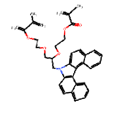 C=C(C)C(=C)OCCOCC(Cn1c2ccc3ccccc3c2c2c3ccccc3ccc21)OCCOC(=O)C(=C)C